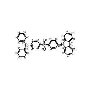 C=C(/C=C\C(=C)S(=O)(=O)c1ccc(-n2c3ccccc3c3ccccc32)cc1)P(c1ccccc1)c1ccccc1